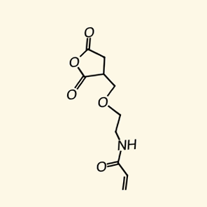 C=CC(=O)NCCOCC1CC(=O)OC1=O